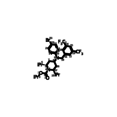 CC(C)OC(=O)N1[C@H](C(C)C)CC(N(Cc2cc(C(F)(F)F)cc(C(F)(F)F)c2)c2ncc(Br)cn2)C[C@H]1C(C)C